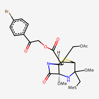 COC1(CSC)N[C@@]2(OC)C(=O)N3C(C(=O)OCC(=O)c4ccc(Br)cc4)=C(COC(C)=O)C1S[C@H]32